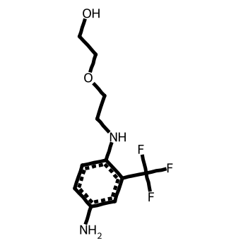 Nc1ccc(NCCOCCO)c(C(F)(F)F)c1